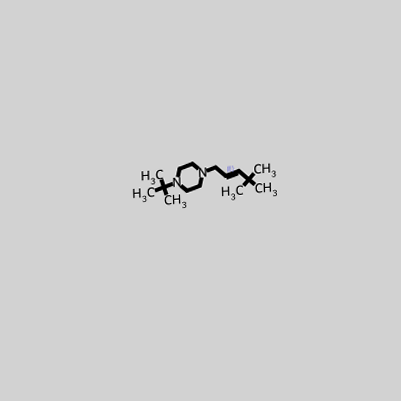 CC(C)(C)/C=C/CN1CCN(C(C)(C)C)CC1